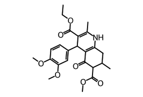 CCOC(=O)C1=C(C)NC2=C(C(=O)C(C(=O)OC)C(C)C2)C1c1ccc(OC)c(OC)c1